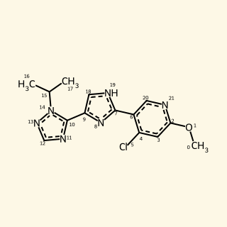 COc1cc(Cl)c(-c2nc(-c3ncnn3C(C)C)c[nH]2)cn1